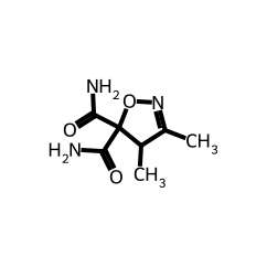 CC1=NOC(C(N)=O)(C(N)=O)C1C